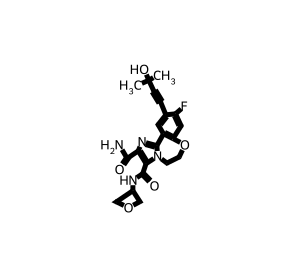 CC(C)(O)C#Cc1cc2c(cc1F)OCCn1c-2nc(C(N)=O)c1C(=O)NC1COC1